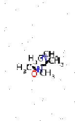 CCC(=O)N(C)CCC(C)N(C)C